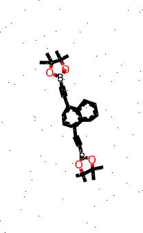 CC1(C)OB(C#Cc2ccc(C#CB3OC(C)(C)C(C)(C)O3)c3ccccc23)OC1(C)C